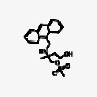 CC(CCO)(COS(C)(=O)=O)NCc1c2ccccc2cc2ccccc12